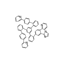 c1ccc(-c2ccc(-c3ccccc3-c3cc(-c4ccccc4-c4ccc(-c5ccccn5)cc4)cc(-c4ccccc4-c4ccc5c(c4)c4nccn4c4cccnc54)c3)cc2)nc1